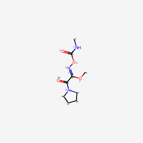 CNC(=O)O/N=C(\OC)C(=O)N1CCCC1